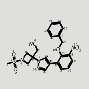 CS(=O)(=O)N1CC(CC#N)(n2cc(-c3cccc([N+](=O)[O-])c3OCc3ccccc3)cn2)C1